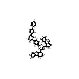 c1ccc(-c2ccc(-c3cccc(-c4ccc(-c5nc(-c6cccc7c6sc6ccccc67)nc(-c6cccc7oc8ccccc8c67)n5)cc4)c3)cc2)cc1